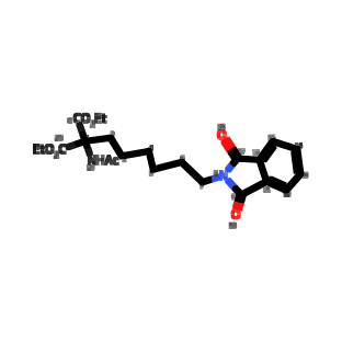 CCOC(=O)C(CCCCCCN1C(=O)c2ccccc2C1=O)(NC(C)=O)C(=O)OCC